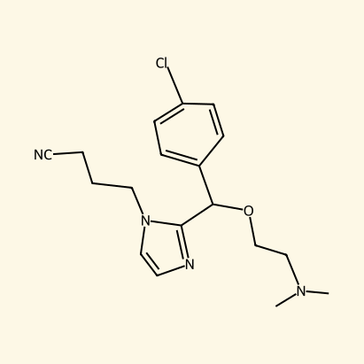 CN(C)CCOC(c1ccc(Cl)cc1)c1nccn1CCCC#N